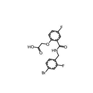 O=C(O)COc1ccc(F)cc1C(=O)NCc1ccc(Br)cc1F